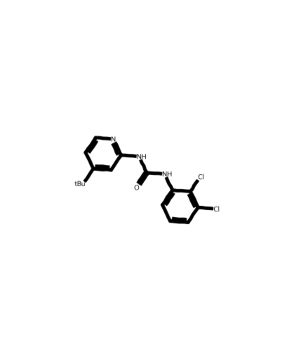 CC(C)(C)c1ccnc(NC(=O)Nc2cccc(Cl)c2Cl)c1